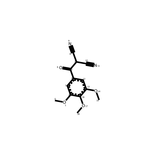 COc1cc(C(=O)C(C#N)C#N)cc(OC)c1OC